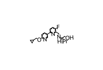 CC(C)[C@H](CO)NCc1nc(-c2ccc(OCC3CC3)nc2)ccc1F